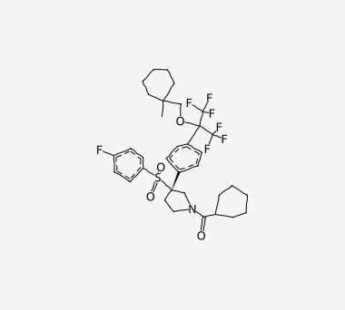 CC1(COC(c2ccc([C@]3(S(=O)(=O)c4ccc(F)cc4)CCN(C(=O)C4CCCCC4)C3)cc2)(C(F)(F)F)C(F)(F)F)CCCCC1